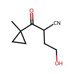 CC1(C(=O)C(C#N)CCO)CC1